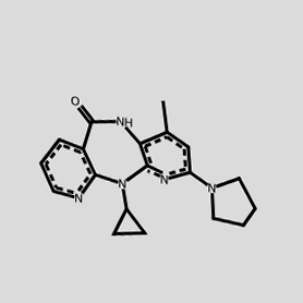 Cc1cc(N2CCCC2)nc2c1NC(=O)c1cccnc1N2C1CC1